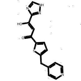 O=C(C=C(O)c1nc[nH]n1)c1ccc(Cc2ccncc2)s1